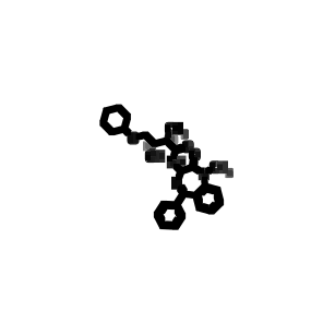 C[C@@H](C(=O)NC1N=C(c2ccccc2)c2ccccc2N(C)C1=O)[C@H](O)COC1CCCCC1